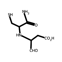 NC(=O)C(CS)NC(C=O)CC(=O)O